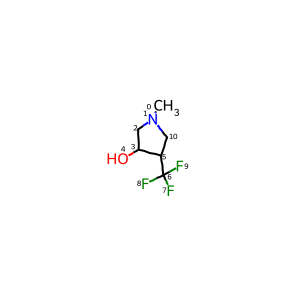 CN1CC(O)C(C(F)(F)F)C1